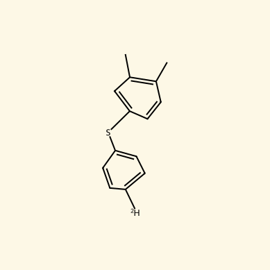 [2H]c1ccc(Sc2ccc(C)c(C)c2)cc1